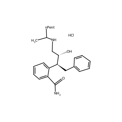 CCCCCC(C)NC[C@H](O)[C@@H](Cc1ccccc1)c1ccccc1C(N)=O.Cl